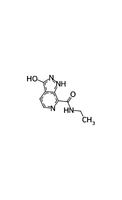 CCNC(=O)c1nccc2c(O)n[nH]c12